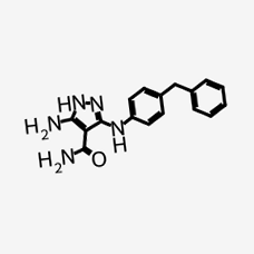 NC(=O)c1c(Nc2ccc(Cc3ccccc3)cc2)n[nH]c1N